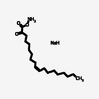 CCCCCCCC/C=C\CCCCCCCC(=O)C(=O)ON.[NaH]